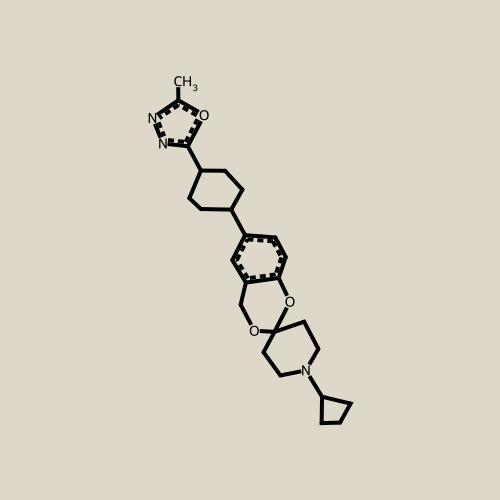 Cc1nnc(C2CCC(c3ccc4c(c3)COC3(CCN(C5CCC5)CC3)O4)CC2)o1